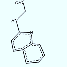 O=CCNc1ccc2ccccc2n1